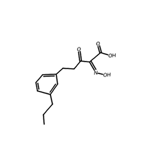 CCCc1cccc(CCC(=O)C(=NO)C(=O)O)c1